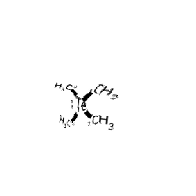 C[Te](C)(C)C